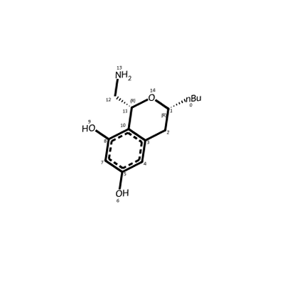 CCCC[C@@H]1Cc2cc(O)cc(O)c2[C@H](CN)O1